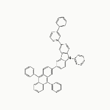 c1ccc(-c2cccc(-c3ccc4c(c3)c3cc(-c5ccc6c(-c7ccccc7)c7ccccc7c(-c7ccccc7)c6c5)ccc3n4-c3ccccc3)c2)cc1